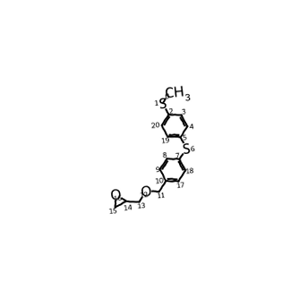 CSc1ccc(Sc2ccc(COCC3CO3)cc2)cc1